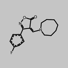 O=C1ON=C(c2ccc(F)cc2)C1=CN1CCCCCCC1